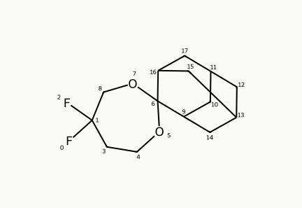 FC1(F)CCOC2(OC1)C1CC3CC(C1)CC2C3